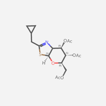 CC(=O)OC[C@H]1O[C@H]2SC(CC3CC3)=NC2[C@@H](OC(C)=O)[C@@H]1OC(C)=O